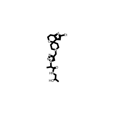 CCc1cc2c(s1)CCOC21CCN(Cc2cn(C(C)C(=O)NCC(C)O)nn2)CC1